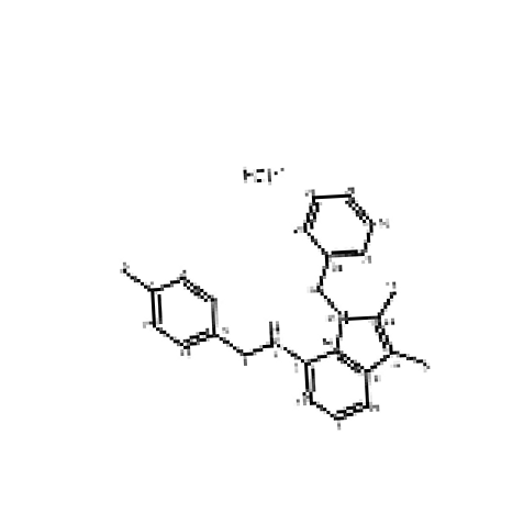 Cc1ccc(CNc2nccc3c(C)c(C)n(Cc4ccccc4)c23)cc1.Cl